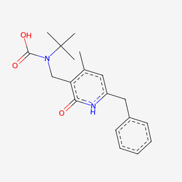 Cc1cc(Cc2ccccc2)[nH]c(=O)c1CN(C(=O)O)C(C)(C)C